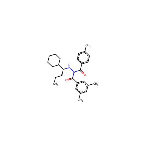 CCC[C@H](NN(C(=O)c1ccc(C)cc1)C(=O)c1cc(C)cc(C)c1)C1CCCCC1